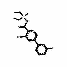 CC[N+](C)(CC)NC(=O)c1ncc(-c2cccc(F)c2)cc1O